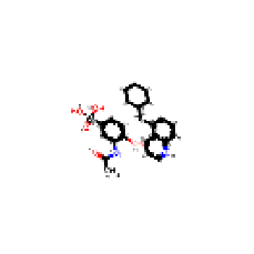 CC(=O)Nc1cc([As](=O)(O)O)ccc1O.c1cc([Te]C2CCCCC2)c2cccnc2c1